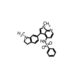 CN1CCc2ccc(-c3cn(C)c4nccc(NS(=O)(=O)c5ccccc5)c34)cc21